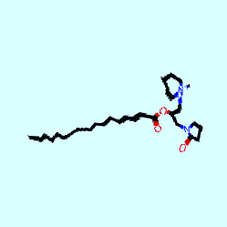 CCCCCCCCCCCCCCCC(=O)OC(CN1CCCC1=O)C[N+]1(C)CCCCC1